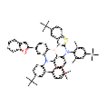 Cc1cc(C(C)(C)C)cc(C)c1N1c2cc(C(C)(C)C)cc3c2B(c2ccc(-c4cc5ccccc5o4)cc2N3c2ccc(C(C)(C)C)cc2-c2ccccc2)c2c1sc1ccc(C(C)(C)C)cc21